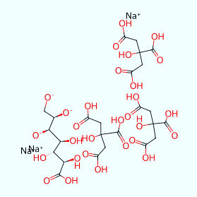 O=C(O)CC(O)(CC(=O)O)C(=O)O.O=C(O)CC(O)(CC(=O)O)C(=O)O.O=C(O)CC(O)(CC(=O)O)C(=O)O.O=C(O)[C@H](O)[C@H](O)[C@H](O)[C@@H]([O-])[C@H]([O-])C[O-].[Na+].[Na+].[Na+]